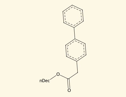 CCCCCCCCCCOC(=O)Cc1ccc(-c2ccccc2)cc1